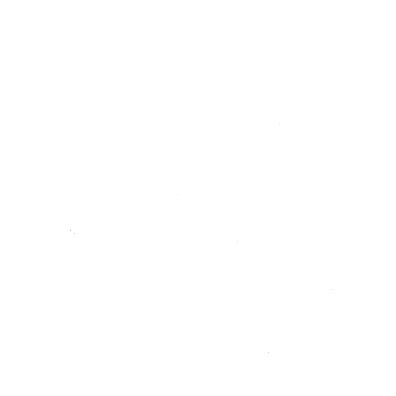 CC(=O)OCC1OC(Oc2ccc(C(=O)OC(Cc3c(Cl)c[n+]([O-])cc3Cl)c3ccc(OC(F)F)c(OCC4CC4)c3)cc2)C(OC(C)=O)C(OC(C)=O)C1OC(C)=O